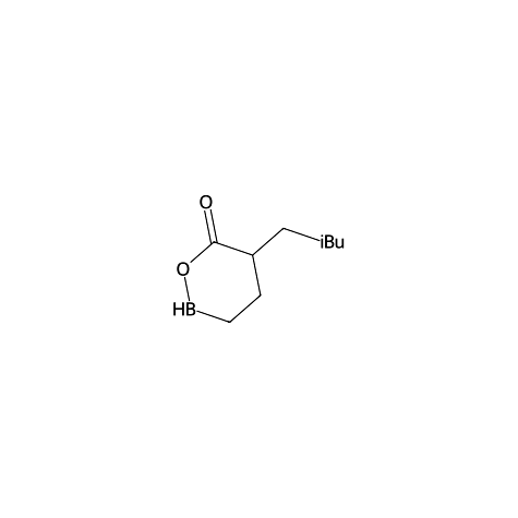 CCC(C)CC1CCBOC1=O